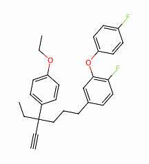 C#CC(CC)(CCCc1ccc(F)c(Oc2ccc(F)cc2)c1)c1ccc(OCC)cc1